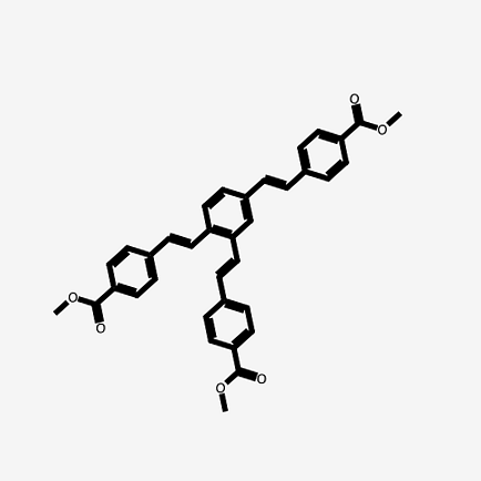 COC(=O)c1ccc(/C=C/c2ccc(/C=C/c3ccc(C(=O)OC)cc3)c(/C=C/c3ccc(C(=O)OC)cc3)c2)cc1